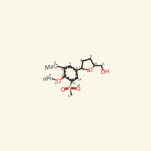 CCCOc1c(OC)cc(C2CCC(CO)O2)cc1S(C)(=O)=O